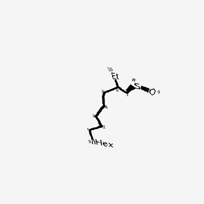 CCCCCCCCCCCC(C=S=O)CC